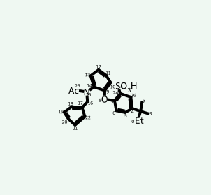 CCC(C)(C)c1ccc(Oc2ccccc2N(Cc2ccccc2)C(C)=O)c(S(=O)(=O)O)c1